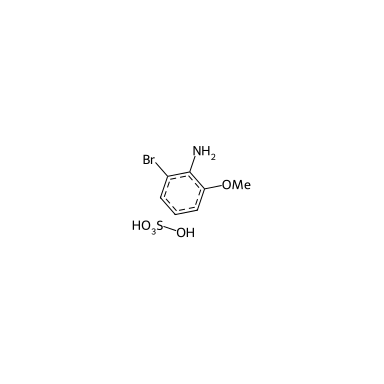 COc1cccc(Br)c1N.O=S(=O)(O)O